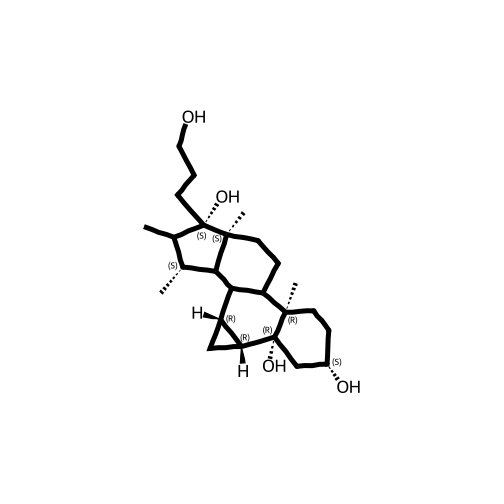 CC1[C@@H](C)C2C3C(CC[C@]2(C)[C@]1(O)CCCO)[C@@]1(C)CC[C@H](O)C[C@@]1(O)[C@@H]1C[C@H]31